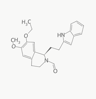 CCOc1cc2c(cc1OC)CCN(C=O)[C@@H]2CCc1cc2ccccc2[nH]1